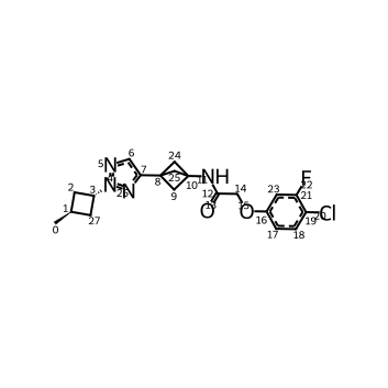 C[C@H]1C[C@H](n2ncc(C34CC(NC(=O)COc5ccc(Cl)c(F)c5)(C3)C4)n2)C1